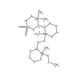 CCC[N+]1(C)CCCCC1CC[N+]1(C)CCCCC1C1CS(=O)(=O)CC[N+]1(C)C